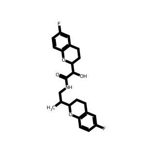 CC(CNC(=O)C(O)C1CCc2cc(F)ccc2O1)C1CCc2cc(F)ccc2O1